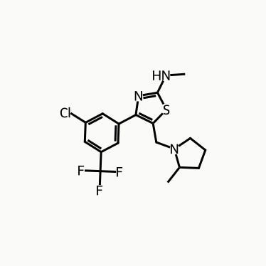 CNc1nc(-c2cc(Cl)cc(C(F)(F)F)c2)c(CN2CCCC2C)s1